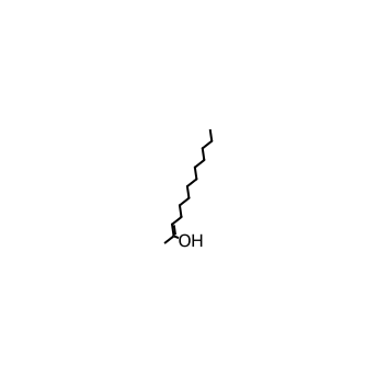 CCCCCCCCCCC=C(C)O